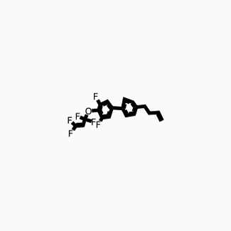 C=CCCc1ccc(-c2cc(F)c(OC(F)(F)C=C(F)F)c(F)c2)cc1